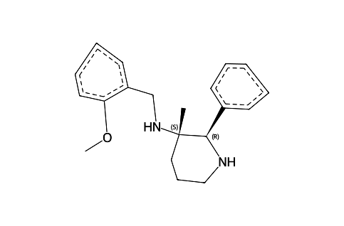 COc1ccccc1CN[C@@]1(C)CCCN[C@@H]1c1ccccc1